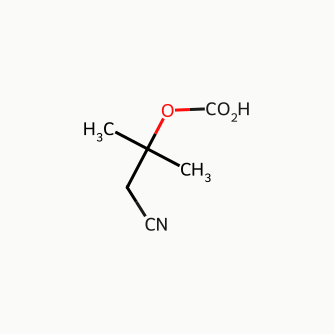 CC(C)(CC#N)OC(=O)O